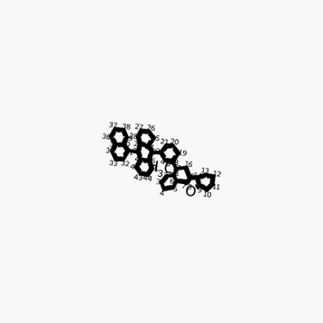 CC12C=CC=CC1=c1oc3ccccc3c1=CC2c1cccc(-c2c3ccccc3c(-c3cccc4ccccc34)c3ccccc23)c1